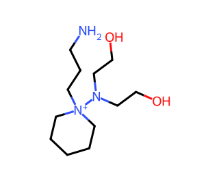 NCCC[N+]1(N(CCO)CCO)CCCCC1